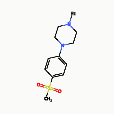 CCN1CCN(c2ccc(S(C)(=O)=O)cc2)CC1